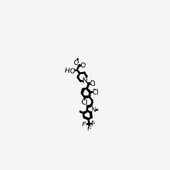 COC(=O)C(O)C1CCN(C(=O)c2ccc(Cl)c(Cc3cc4c(C)cc(C(F)(F)F)cc4n3C)c2Cl)CC1